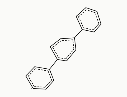 [c]1ccc(-c2ccc(-c3ccccc3)cc2)cc1